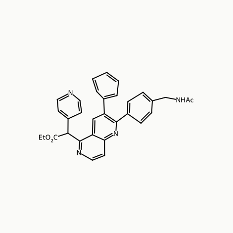 CCOC(=O)C(c1ccncc1)c1nccc2nc(-c3ccc(CNC(C)=O)cc3)c(-c3ccccc3)cc12